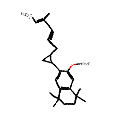 CCCCCCCOc1cc2c(cc1C1CC1CC=CC(C)=CC(=O)O)C(C)(C)CCC2(C)C